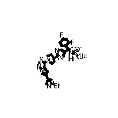 CCn1cc(-c2cc3c(N4CC=C(c5ncc([C@](C)(N[S+]([O-])C(C)(C)C)c6ccc(F)cc6F)cn5)CC4)ncnn3c2)cn1